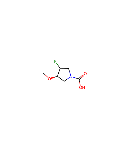 CO[C@@H]1CN(C(=O)O)CC1F